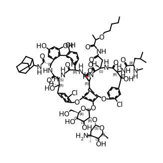 CCCCCOC(C)C(=O)NC(=O)C[C@@H]1NC(=O)[C@H](NC(=O)[C@@H](CC(C)C)NC)[C@H](O)c2ccc(c(Cl)c2)Oc2cc3cc(c2O[C@@H]2O[C@H](CO)[C@@H](O)[C@H](O)[C@H]2O[C@H]2C[C@](C)(N)[C@H](O)[C@H](C)O2)Oc2ccc(cc2Cl)[C@@H](O)[C@@H]2NC(=O)[C@H](NC(=O)[C@@H]3NC1=O)c1ccc(O)c(c1)-c1c(O)cc(O)cc1[C@@H](C(=O)NC1C3CC4CC(C3)CC1C4)NC2=O